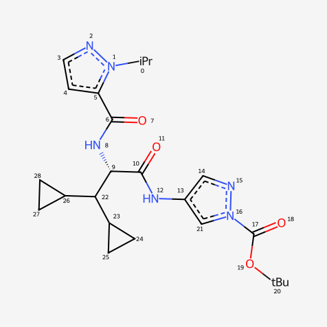 CC(C)n1nccc1C(=O)N[C@H](C(=O)Nc1cnn(C(=O)OC(C)(C)C)c1)C(C1CC1)C1CC1